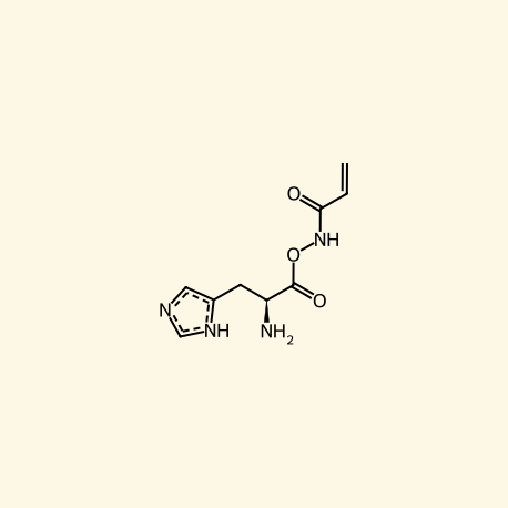 C=CC(=O)NOC(=O)[C@@H](N)Cc1cnc[nH]1